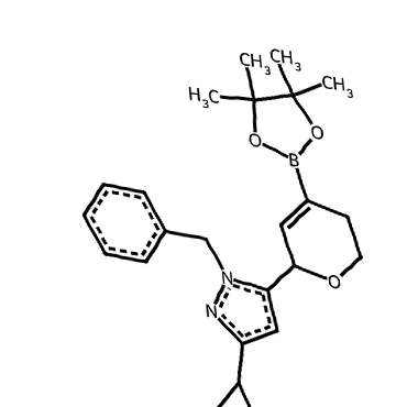 CC1(C)OB(C2=CC(c3cc(C4CC4)nn3Cc3ccccc3)OCC2)OC1(C)C